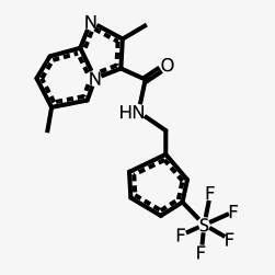 Cc1ccc2nc(C)c(C(=O)NCc3cccc(S(F)(F)(F)(F)F)c3)n2c1